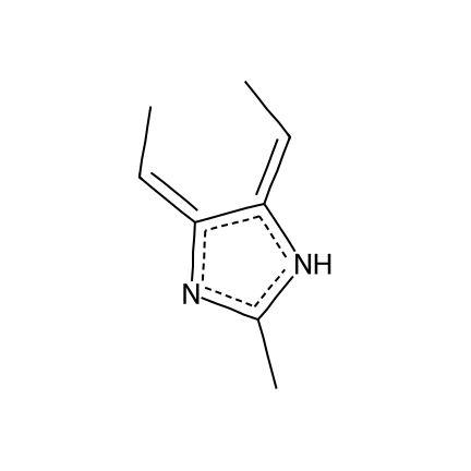 C/C=c1/nc(C)[nH]/c1=C/C